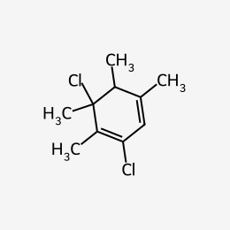 CC1=CC(Cl)=C(C)C(C)(Cl)C1C